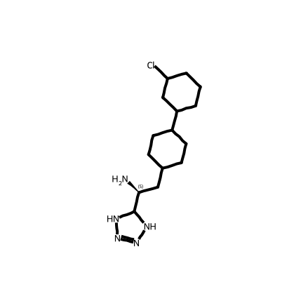 N[C@@H](CC1CCC(C2CCCC(Cl)C2)CC1)C1NN=NN1